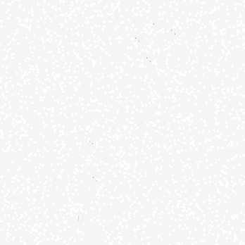 CCC(C)c1cn(CC)c(=O)n1Cc1ccc(-c2ccccc2-c2nnn[nH]2)cc1